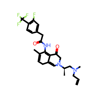 C=CCN(C)C[C@@H](C)N1C=C2CC=C(C)C(NC(=O)Cc3ccc(C(F)(F)F)c(F)c3)=C2C(=O)C1